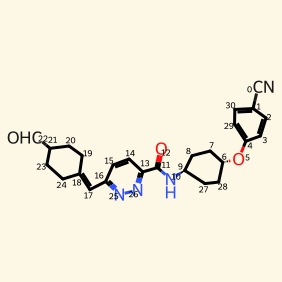 N#Cc1ccc(O[C@H]2CC[C@H](NC(=O)c3ccc(C=C4CCC(C=O)CC4)nn3)CC2)cc1